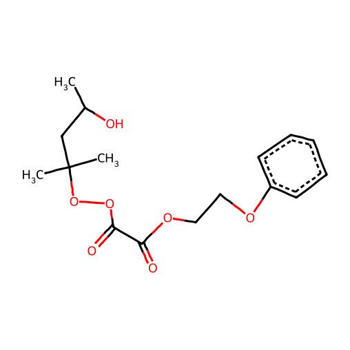 CC(O)CC(C)(C)OOC(=O)C(=O)OCCOc1ccccc1